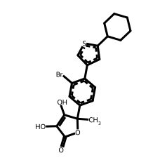 CC1(c2ccc(-c3csc(C4CCCCC4)c3)c(Br)c2)OC(=O)C(O)=C1O